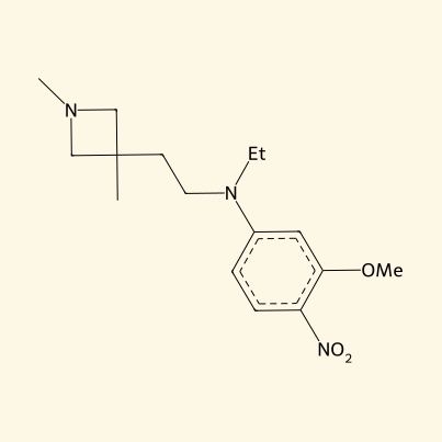 CCN(CCC1(C)CN(C)C1)c1ccc([N+](=O)[O-])c(OC)c1